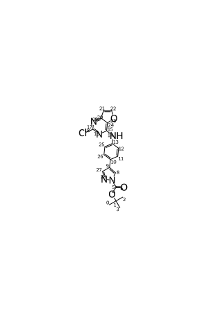 CC(C)(C)OC(=O)n1cc(-c2ccc(Nc3nc(Cl)nc4ccoc34)cc2)cn1